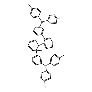 Cc1ccc(N(c2ccc(C)cc2)c2cccc(-c3ccccc3C3C=CC=CC3(C)c3cccc(N(c4ccc(C)cc4)c4ccc(C)cc4)c3)c2)cc1